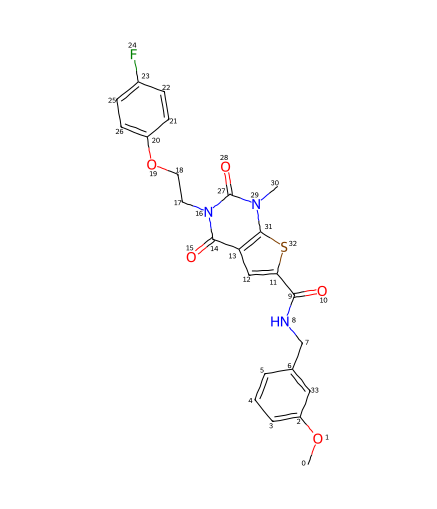 COc1cccc(CNC(=O)c2cc3c(=O)n(CCOc4ccc(F)cc4)c(=O)n(C)c3s2)c1